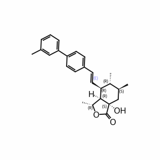 Cc1cccc(-c2ccc(/C=C/[C@H]3[C@H](C)[C@@H](C)C[C@@]4(O)C(=O)O[C@H](C)[C@@H]34)cc2)c1